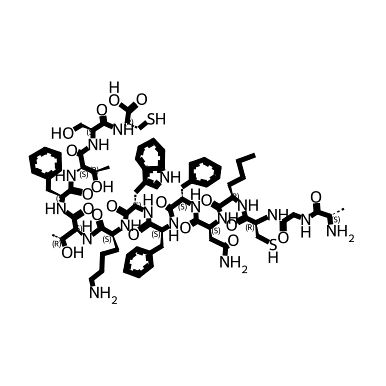 CCCC[C@@H](NC(=O)[C@H](CS)NC(=O)CNC(=O)[C@H](C)N)C(=O)N[C@@H](CC(N)=O)C(=O)N[C@@H](Cc1ccccc1)C(=O)N[C@@H](Cc1ccccc1)C(=O)N[C@@H](Cc1c[nH]c2ccccc12)C(=O)N[C@@H](CCCCN)C(=O)N[C@H](C(=O)N[C@@H](Cc1ccccc1)C(=O)N[C@H](C(=O)N[C@@H](CO)C(=O)N[C@@H](CS)C(=O)O)[C@@H](C)O)[C@@H](C)O